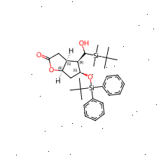 CC(C)(C)[Si](O[C@H]1C[C@H]2OC(=O)C[C@H]2[C@H]1C(O)[Si](C)(C)C(C)(C)C)(c1ccccc1)c1ccccc1